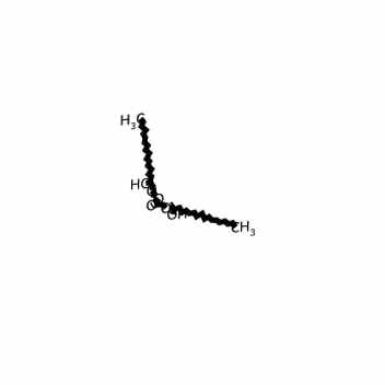 CCCCCCCCCCCCCCCCC(O)COCCS(=O)(=O)CCOCC(O)CCCCCCCCCCCCCCCC